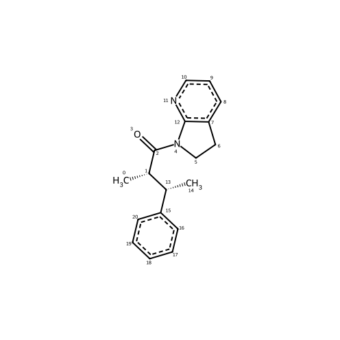 C[C@H](C(=O)N1CCc2cccnc21)[C@H](C)c1ccccc1